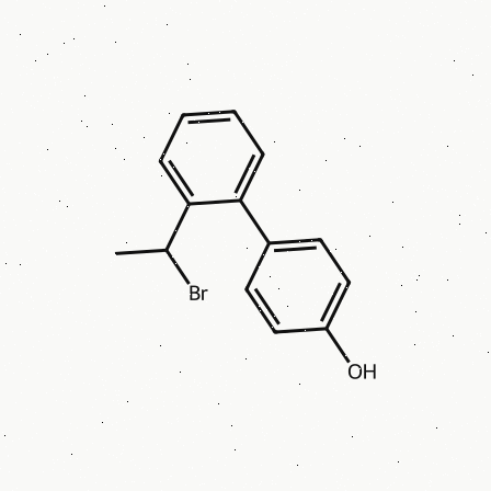 CC(Br)c1ccccc1-c1ccc(O)cc1